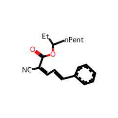 CCCCCC(CC)OC(=O)C(C#N)=CC=Cc1ccccc1